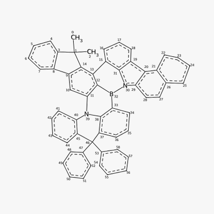 CC1(C)c2ccccc2-c2cc3c4c(c21)-c1cccc2c5c6ccccc6ccc5n(c12)B4c1cccc2c1N3c1ccccc1C2(c1ccccc1)c1ccccc1